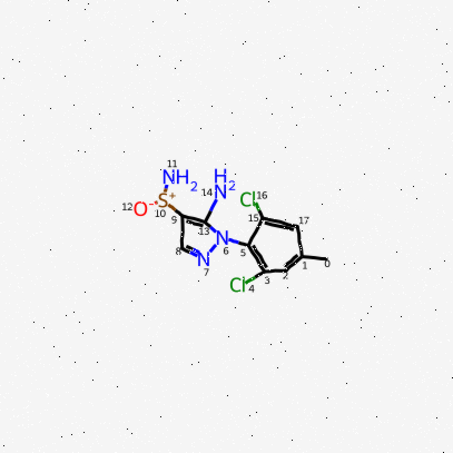 Cc1cc(Cl)c(-n2ncc([S+](N)[O-])c2N)c(Cl)c1